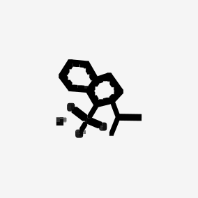 C=C(C)c1ccc2ccccc2c1S(=O)(=O)[O-].[Li+]